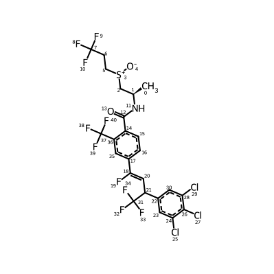 C[C@H](C[S+]([O-])CCC(F)(F)F)NC(=O)c1ccc(/C(F)=C/C(c2cc(Cl)c(Cl)c(Cl)c2)C(F)(F)F)cc1C(F)(F)F